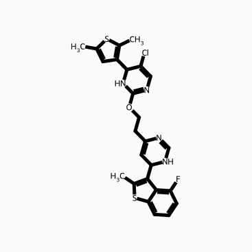 Cc1cc(C2NC(OCCC3=CC(c4c(C)sc5cccc(F)c45)NC=N3)=NC=C2Cl)c(C)s1